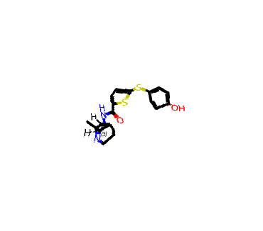 C[C@H]1[C@H](NC(=O)c2ccc(Sc3ccc(O)cc3)s2)C2CCN1CC2